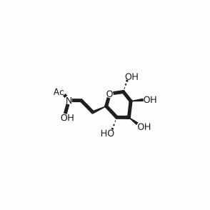 CC(=O)N(O)CC[C@H]1O[C@H](O)[C@@H](O)[C@@H](O)[C@@H]1O